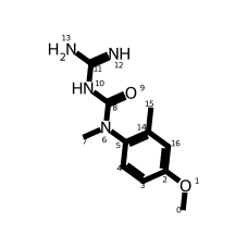 COc1ccc(N(C)C(=O)NC(=N)N)c(C)c1